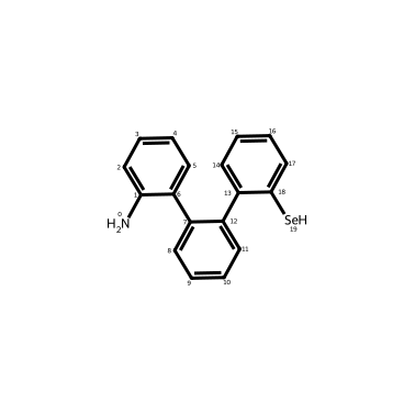 Nc1ccccc1-c1ccccc1-c1ccccc1[SeH]